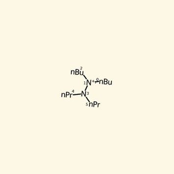 CCCC[N+](CCCC)N(CCC)CCC